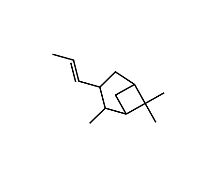 CC=CC1CC2CC(C1C)C2(C)C